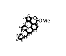 COC(=O)c1ccc(C=C(Cn2ccnc2)c2nccs2)cc1-c1ccsc1